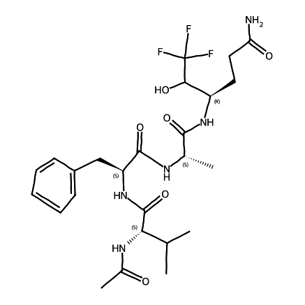 CC(=O)N[C@H](C(=O)N[C@@H](Cc1ccccc1)C(=O)N[C@@H](C)C(=O)N[C@H](CCC(N)=O)C(O)C(F)(F)F)C(C)C